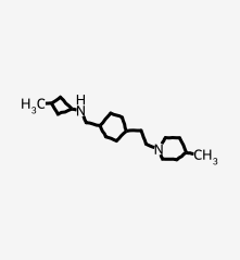 CC1CCN(CCC2CCC(CNC3CC(C)C3)CC2)CC1